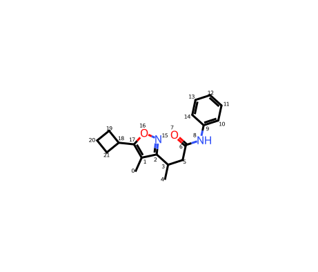 Cc1c(C(C)CC(=O)Nc2ccccc2)noc1C1CCC1